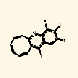 Fc1c(I)c(Cl)cc2c(I)c3c(nc12)\C=C/C=C\C=C/3